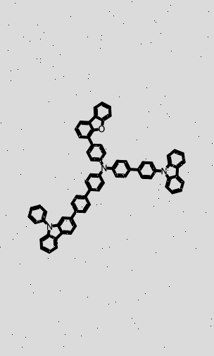 c1ccc(-n2c3ccccc3c3ccc(-c4ccc(-c5ccc(N(c6ccc(-c7ccc(-n8c9ccccc9c9ccccc98)cc7)cc6)c6ccc(-c7cccc8c7oc7ccccc78)cc6)cc5)cc4)cc32)cc1